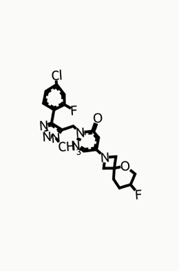 Cn1nnc(-c2ccc(Cl)cc2F)c1Cn1ncc(N2CC3(CCC(F)CO3)C2)cc1=O